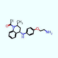 CCC(=O)N1c2ccccc2[C@H](Nc2ccc(OCCN)cc2)C[C@@H]1C